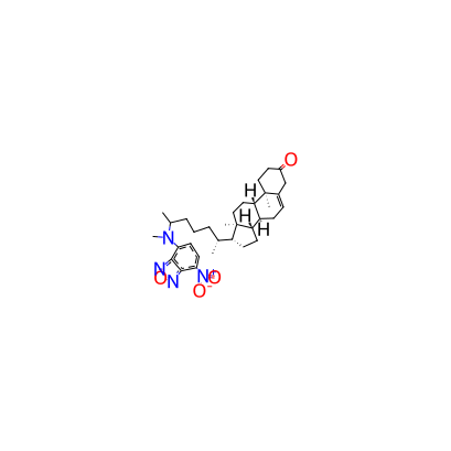 CC(CCC[C@@H](C)[C@H]1CC[C@H]2[C@@H]3CC=C4CC(=O)CC[C@]4(C)[C@H]3CC[C@]12C)N(C)c1ccc([N+](=O)[O-])c2nonc12